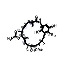 CO[C@H]1C[C@H](C)Cc2c(N)c(O)cc(c2O)NC(=O)/C(C)=C/C=C\[C@H](C)[C@@H](OC(N)=O)/C(C)=C/[C@H](C)[C@H]1O